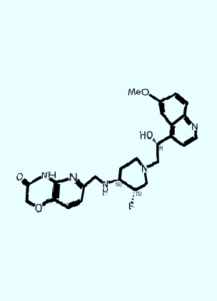 COc1ccc2nccc([C@@H](O)CN3CC[C@H](NCc4ccc5c(n4)NC(=O)CO5)[C@@H](F)C3)c2c1